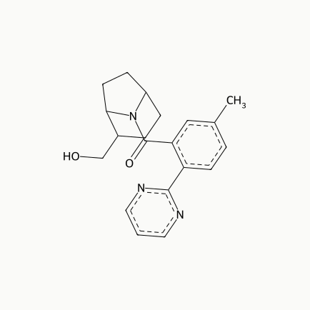 Cc1ccc(-c2ncccn2)c(C(=O)N2C3CCC(CO)C2CC3)c1